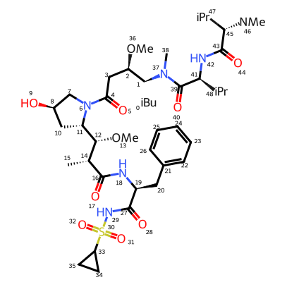 CC[C@H](C)[C@@H]([C@@H](CC(=O)N1C[C@H](O)C[C@H]1[C@H](OC)[C@@H](C)C(=O)N[C@@H](Cc1ccccc1)C(=O)NS(=O)(=O)C1CC1)OC)N(C)C(=O)[C@@H](NC(=O)[C@@H](NC)C(C)C)C(C)C